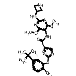 COc1nc(NC2CNC2)nc(OC)c1NC(=O)c1coc(Oc2cc(C(C)(C)C)ccc2C)n1